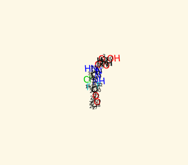 O[C@@H]1CO[C@H]2[C@@H]1OC[C@H]2Oc1nc2nc(NCc3c(F)cc(OCC4CCCCO4)cc3F)c(Cl)cc2[nH]1